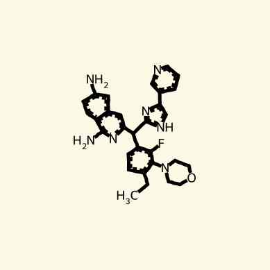 CCc1ccc(C(c2cc3cc(N)ccc3c(N)n2)c2nc(-c3cccnc3)c[nH]2)c(F)c1N1CCOCC1